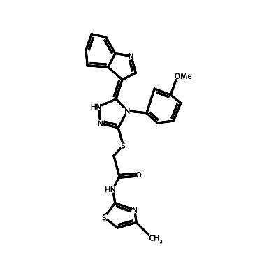 COc1cccc(N2C(SCC(=O)Nc3nc(C)cs3)=NNC2=C2C=Nc3ccccc32)c1